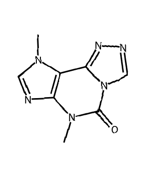 Cn1cnc2c1c1nncn1c(=O)n2C